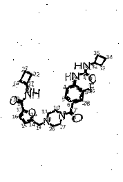 O=C(Nc1ccc(C(=O)N2CCN(Cc3ccc(C(=O)NC4CCC4)o3)CC2)cc1F)NC1CCC1